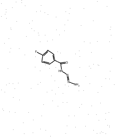 NN=NNC(=O)c1ccc(F)cc1